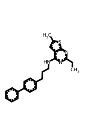 CCc1nc(NCCCc2ccc(-c3ccccc3)cc2)c2cc(C)sc2n1